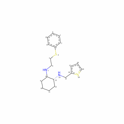 c1ccc(SCCNC2CCCC[C@H]2NCc2cccs2)cc1